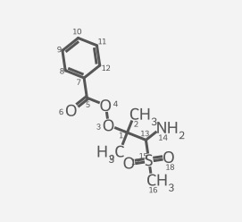 CC(C)(OOC(=O)c1ccccc1)C(N)S(C)(=O)=O